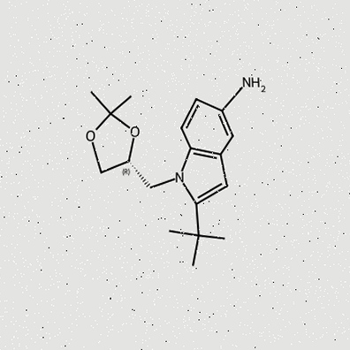 CC1(C)OC[C@@H](Cn2c(C(C)(C)C)cc3cc(N)ccc32)O1